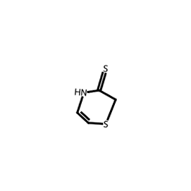 S=C1CSC=CN1